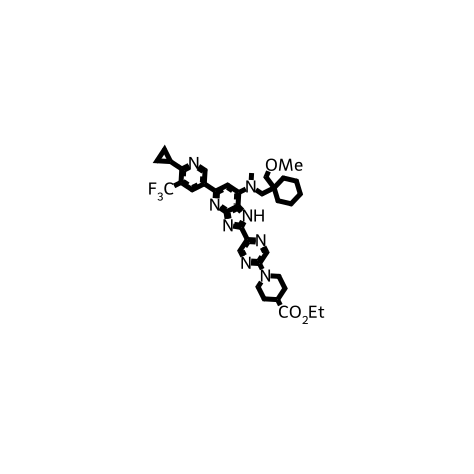 CCOC(=O)C1CCN(c2cnc(-c3nc4nc(-c5cnc(C6CC6)c(C(F)(F)F)c5)cc(N(C)CC5(COC)CCCCC5)c4[nH]3)cn2)CC1